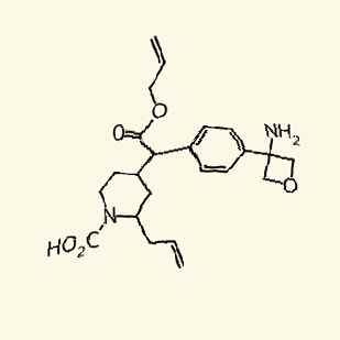 C=CCOC(=O)C(c1ccc(C2(N)COC2)cc1)C1CCN(C(=O)O)C(CC=C)C1